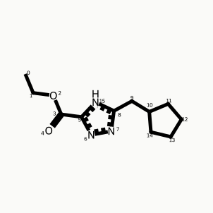 CCOC(=O)c1nnc(CC2CCCC2)[nH]1